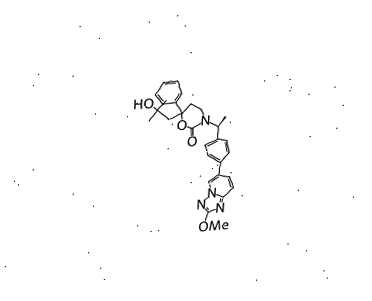 COc1nc2ccc(-c3ccc([C@H](C)N4CCC(CC(C)(C)O)(c5ccccc5)OC4=O)cc3)cn2n1